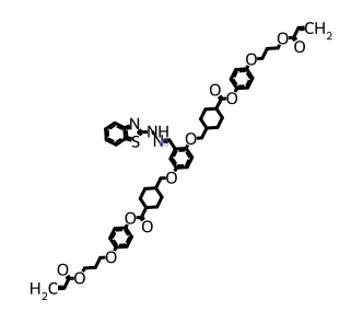 C=CC(=O)OCCCOc1ccc(OC(=O)C2CCC(COc3ccc(OCC4CCC(C(=O)Oc5ccc(OCCCOC(=O)C=C)cc5)CC4)c(/C=N/Nc4nc5ccccc5s4)c3)CC2)cc1